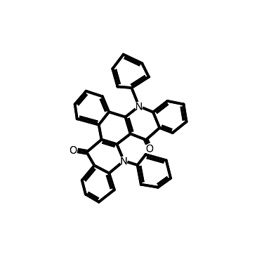 O=c1c2ccccc2n(-c2ccccc2)c2c1c1ccccc1c1c2c(=O)c2ccccc2n1-c1ccccc1